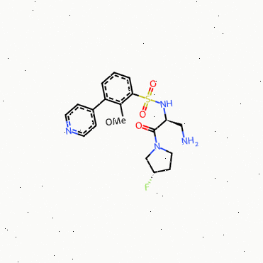 COc1c(-c2ccncc2)cccc1S(=O)(=O)N[C@@H](CN)C(=O)N1CC[C@H](F)C1